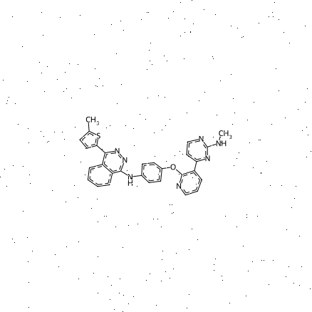 CNc1nccc(-c2cccnc2Oc2ccc(Nc3nnc(-c4ccc(C)s4)c4ccccc34)cc2)n1